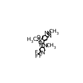 CCS(=O)(=O)c1cc2nn(C)nc2cc1-c1nc2cc(C(F)(F)F)ncc2n1C